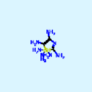 NC1=NC(N)=C(N)[SH]1(N)(N)N